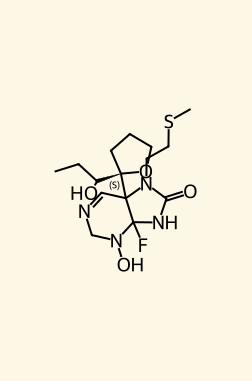 CCC(O)[C@@]1(C23C=NCN(O)C2(F)NC(=O)N3CCSC)CCCO1